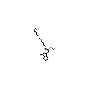 CCCCCCCCC=CCCCCCCCCN[C@@H](Cc1c[nH]c2ccccc12)C(=O)O